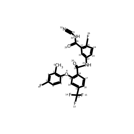 Cc1cc(F)ccc1Oc1cc(C(F)(F)F)ccc1C(=O)Nc1ccc(F)c(C(=O)NC#N)c1